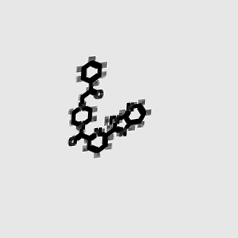 O=C(CN1CCN(C(=O)c2cccc(-c3nc4cccnc4[nH]3)n2)CC1)c1ccccc1